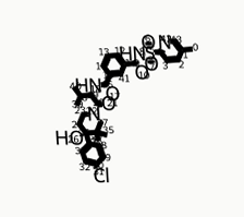 Cc1ccc(S(=O)(=O)NC(=O)c2cccc(C(=O)N[C@@H](C(=O)N3CC[C@](O)(c4ccc(Cl)cc4)C(C)(C)C3)C(C)C)c2)nc1